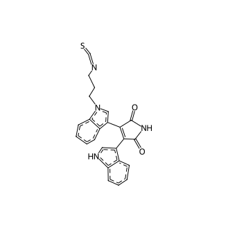 O=C1NC(=O)C(c2cn(CCCN=C=S)c3ccccc23)=C1c1c[nH]c2ccccc12